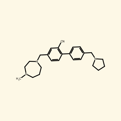 CN1CCCN(Cc2ccc(-c3ccc(CN4CCCC4)cc3)c(C#N)c2)CC1